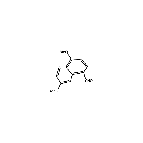 COc1ccc2c(OC)ccc(C=O)c2c1